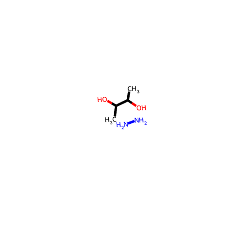 CC(O)C(C)O.NN